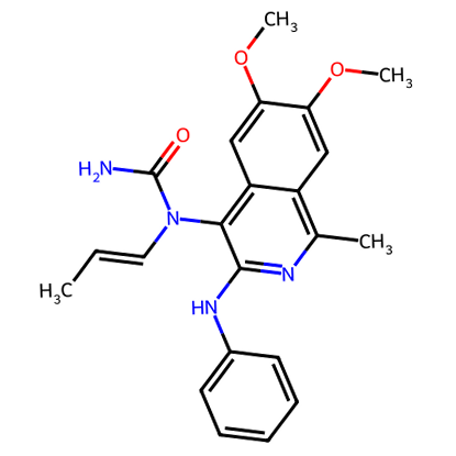 CC=CN(C(N)=O)c1c(Nc2ccccc2)nc(C)c2cc(OC)c(OC)cc12